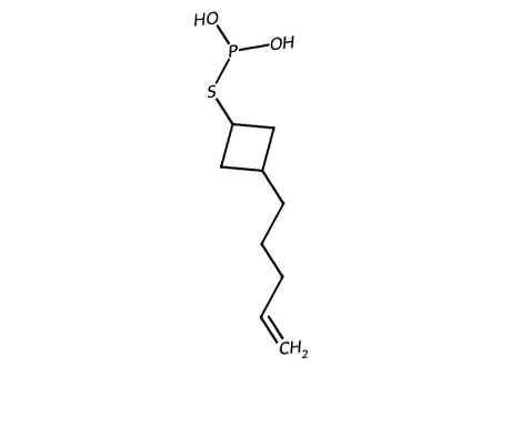 C=CCCCC1CC(SP(O)O)C1